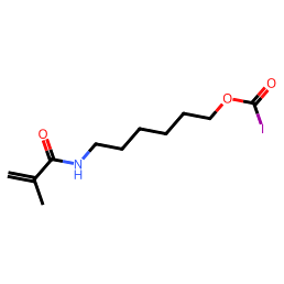 C=C(C)C(=O)NCCCCCCOC(=O)I